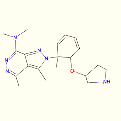 Cc1nnc(N(C)C)c2nn(C3(C)C=CC=CC3OC3CCNC3)c(C)c12